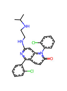 CC(C)NCCNc1cc2c(ccc(=O)n2-c2ccccc2Cl)c(-c2ccccc2Cl)n1